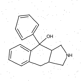 OC1(c2ccccc2)c2ccccc2CC2CNCC21